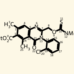 CCOC(=O)c1c(C)cc2nc(COC(=S)NC)n(-c3ccccc3Cl)c(=O)c2c1C